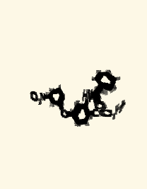 O=C(Nc1cc(Oc2cccc([N+](=O)[O-])c2)ccc1C(=O)O)c1ccccc1